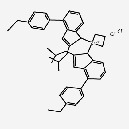 CCc1ccc(-c2cccc3c2C=C(CC(C)C)[CH]3[Zr+2]2([CH]3C(CC(C)C)=Cc4c(-c5ccc(CC)cc5)cccc43)[CH2]C[CH2]2)cc1.[Cl-].[Cl-]